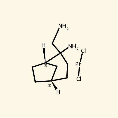 NCC1(N)CC[C@@H]2CC[C@H]1C2.[Cl][Pt][Cl]